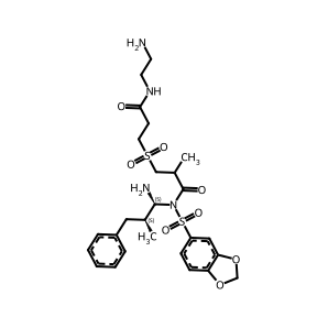 CC(CS(=O)(=O)CCC(=O)NCCN)C(=O)N([C@H](N)[C@@H](C)Cc1ccccc1)S(=O)(=O)c1ccc2c(c1)OCO2